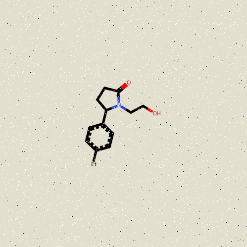 CCc1ccc(C2CCC(=O)N2CCO)cc1